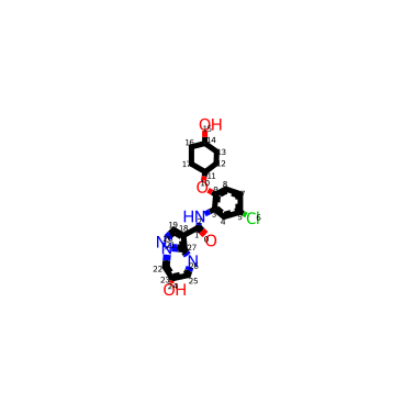 O=C(Nc1cc(Cl)ccc1OC1CCC(O)CC1)c1cnn2cc(O)cnc12